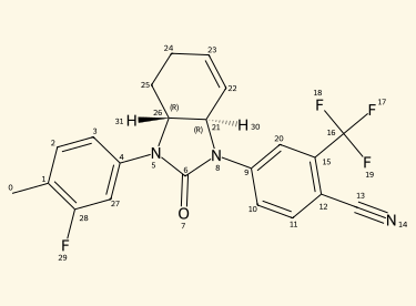 Cc1ccc(N2C(=O)N(c3ccc(C#N)c(C(F)(F)F)c3)[C@@H]3C=CCC[C@H]32)cc1F